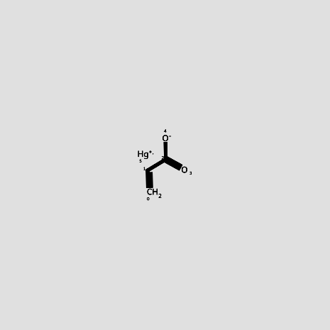 C=CC(=O)[O-].[Hg+]